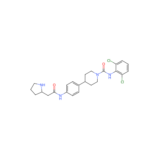 O=C(CC1CCCN1)Nc1ccc(C2CCN(C(=O)Nc3c(Cl)cccc3Cl)CC2)cc1